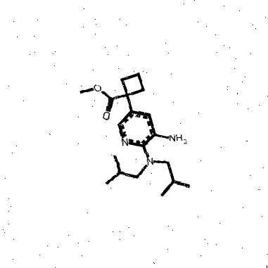 COC(=O)C1(c2cnc(N(CC(C)C)CC(C)C)c(N)c2)CCC1